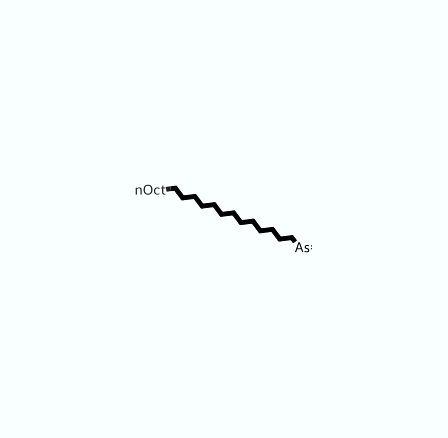 CCCCCCCCCCCCCCCCCCCCC[As]